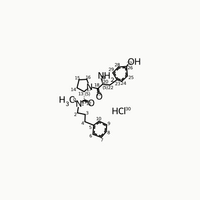 CN(CCCc1ccccc1)C(=O)[C@@H]1CCCN1C(=O)[C@@H](N)Cc1ccc(O)cc1.Cl